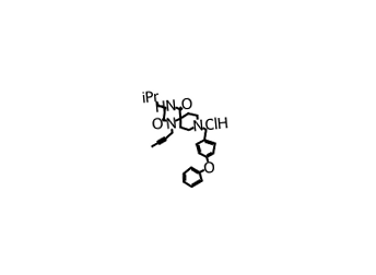 CC#CCN1C(=O)C(CC(C)C)NC(=O)C12CCN(Cc1ccc(Oc3ccccc3)cc1)CC2.Cl